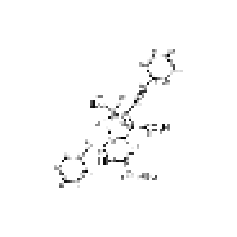 CC(C)(C)OC(=O)N[C@@H](Cc1ccccc1)[C@H](C[C@@H](CC#Cc1ccccc1)C(=O)O)O[Si](C)(C)C(C)(C)C